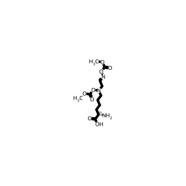 COC(=O)ON=CCN(CCCC[C@H](N)C(=O)O)OC(=O)OC